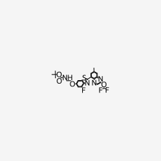 Cc1cc(-c2nc3c(F)cc(OCCNC(=O)OC(C)(C)C)cc3s2)c2ncc(OC(F)F)nc2c1